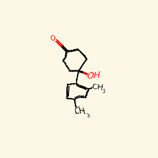 Cc1ccc(C2(O)CCC(=O)CC2)c(C)c1